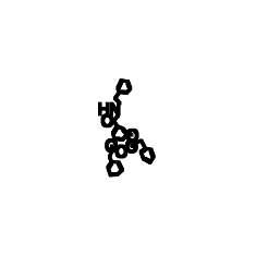 O=C(Cc1ccccc1)Oc1cc(OC(=O)Cc2ccccc2)cc(C(=O)CNCCc2ccccc2)c1